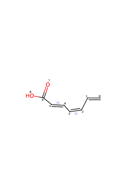 C=C/C=C\C=C\C(=O)O